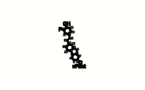 CCCCCOc1ccc2c(c1)Cc1cc(CCc3ccc(O)c(F)c3)ccc1-2